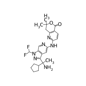 CC1(C)Cc2nc(Nc3cc4c(C(C)(N)C5CCCC5)nn(C(F)F)c4cn3)ccc2C(=O)O1